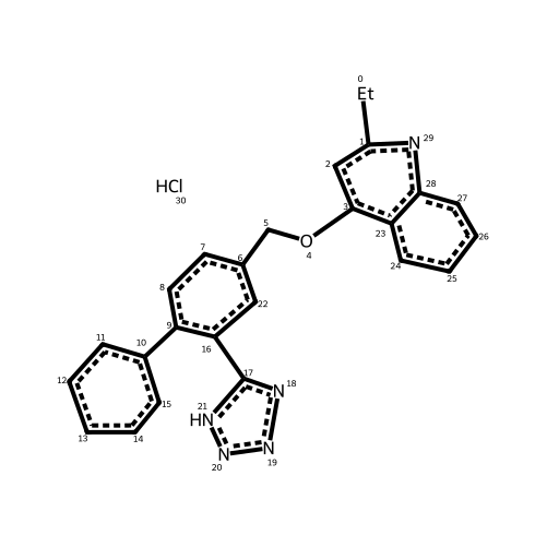 CCc1cc(OCc2ccc(-c3ccccc3)c(-c3nnn[nH]3)c2)c2ccccc2n1.Cl